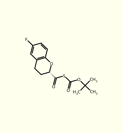 CC(C)(C)OC(=O)SC(=O)[C@@H]1CCc2cc(F)ccc2O1